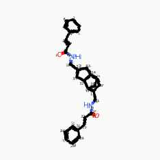 O=C(/C=C/c1ccccc1)NCC1CC2C3CC(CNC(=O)/C=C/c4ccccc4)C(C3)C2C1